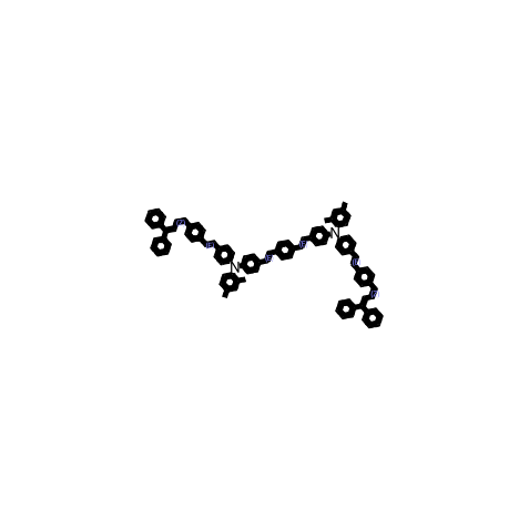 Cc1ccc(N(c2ccc(/C=C/c3ccc(/C=C\C=C(c4ccccc4)c4ccccc4)cc3)cc2)c2ccc(/C=C/c3ccc(/C=C/c4ccc(N(c5ccc(/C=C/c6ccc(/C=C\C=C(c7ccccc7)c7ccccc7)cc6)cc5)c5ccc(C)cc5C)cc4)cc3)cc2)c(C)c1